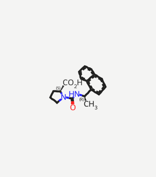 C[C@@H](NC(=O)N1CCC[C@H]1C(=O)O)c1cccc2ccccc12